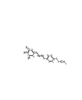 CCCc1ccc(C=NN=Cc2cc(F)c(F)c(F)c2)cc1